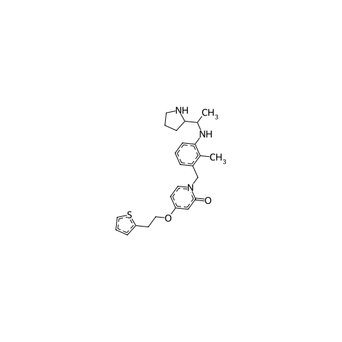 Cc1c(Cn2ccc(OCCc3cccs3)cc2=O)cccc1NC(C)C1CCCN1